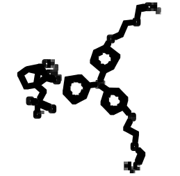 C=COCCOc1ccc([S+](c2ccccc2)c2ccc(OCCOC=C)cc2)cc1.CC1(C)C2CCC1(CS(=O)(=O)[O-])C(=O)C2